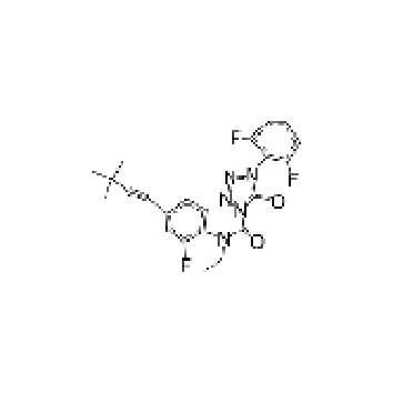 CCN(C(=O)n1nnn(-c2c(F)cccc2F)c1=O)c1ccc(C#CC(C)(C)C)cc1F